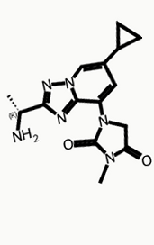 C[C@@H](N)c1nc2c(N3CC(=O)N(C)C3=O)cc(C3CC3)cn2n1